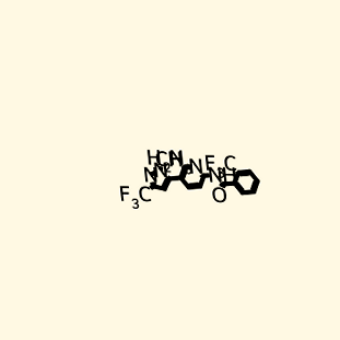 Cn1nc(C(F)(F)F)cc1-c1ccc(NC(=O)c2ccccc2C(F)(F)F)nc1N